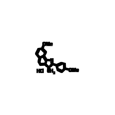 COc1ccc(-c2nc3c4cc(OC)ccc4ccc3n2C)cc1.Cl